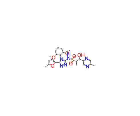 COc1cccc(OC)c1-n1c(NS(=O)(=O)C(C)C(O)c2cnc(C)cn2)nnc1-c1ccc(C)o1